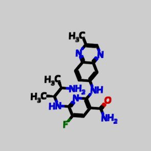 Cc1cnc2cc(Nc3nc(N[C@@H](C)[C@@H](C)N)c(F)cc3C(N)=O)ccc2n1